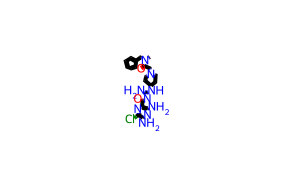 CN(Cc1ccccc1)C(=O)CN1CCC(N/C(N)=N/C(=O)c2nc(Cl)c(N)nc2N)CC1